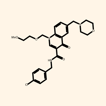 COCCOCn1cc(C(=O)NCc2ccc(Cl)cc2)c(=O)c2cc(CN3CCOCC3)ccc21